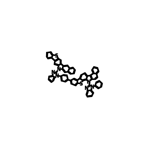 c1ccc(-n2c(-n3c4ccc5ccccc5c4c4ccc5c6cc(-c7ccc(-n8c(-n9c%10cc%11ccccc%11cc%10c%10cc%11sc%12ccccc%12c%11cc%109)nc9ccccc98)cc7)ccc6sc5c43)nc3ccccc32)cc1